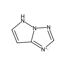 C1=CC2=[N+]C=NN2N1